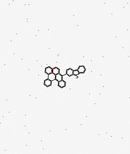 c1ccc(-c2ccccc2-c2c3ccccc3c(-c3ccc4c(c3)sc3ccccc34)c3ccccc23)cc1